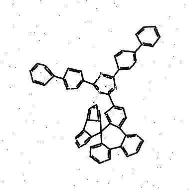 c1ccc(-c2ccc(-c3nc(-c4ccc(-c5ccccc5)cc4)nc(-c4ccc5c(c4)C4(c6ccccc6-c6ccccc6-5)c5ccccc5-c5ccccc54)n3)cc2)cc1